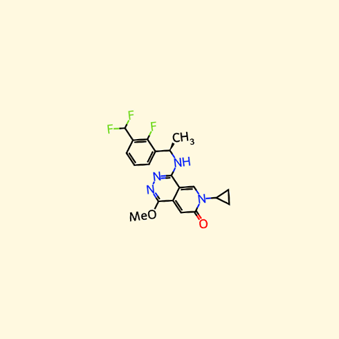 COc1nnc(N[C@H](C)c2cccc(C(F)F)c2F)c2cn(C3CC3)c(=O)cc12